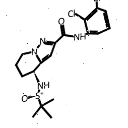 CC(C)(C)[S@@+]([O-])N[C@H]1CCCn2nc(C(=O)Nc3cccc(Br)c3Cl)cc21